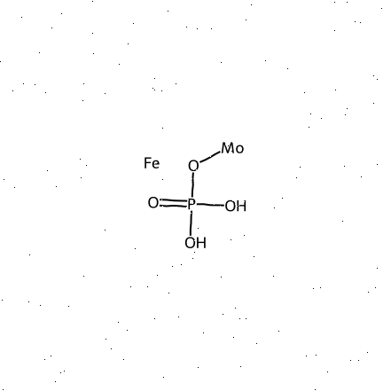 O=P(O)(O)[O][Mo].[Fe]